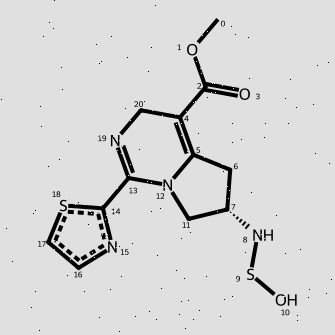 COC(=O)C1=C2C[C@H](NSO)CN2C(c2nccs2)=NC1